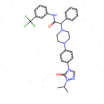 CC(C)n1ncn(-c2ccc(N3CCN(C(C(=O)Nc4cccc(C(F)(F)F)c4)c4ccccc4)CC3)cc2)c1=O